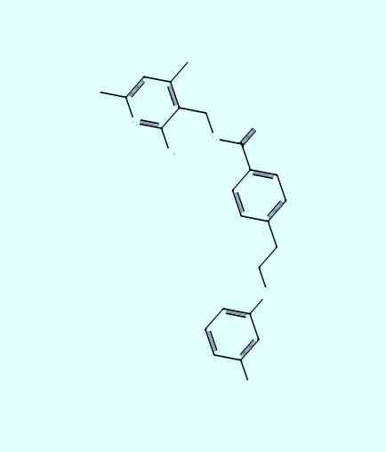 Cc1cc(C)c(CNC(=O)c2ccc(CCOc3cccc(F)c3)cc2)c(O)n1